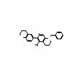 Cc1cc2c(c(C(OC(C)(C)C)C(=O)O)c1-c1ccc3c(c1)CCCO3)CCCN2Cc1ccccc1